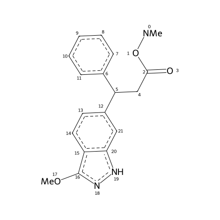 CNOC(=O)CC(c1ccccc1)c1ccc2c(OC)n[nH]c2c1